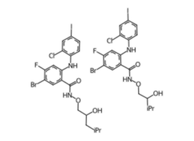 CC(C)C(O)CONC(=O)c1cc(Br)c(F)cc1Nc1ccc(I)cc1Cl.CC(C)CC(O)CONC(=O)c1cc(Br)c(F)cc1Nc1ccc(I)cc1Cl